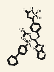 O=C1CC(c2ccc(C[C@@H](c3nc4cccnc4[nH]3)N(OC(=O)C(F)(F)F)S(=O)(=O)c3ccc(-c4ccccc4)cc3)cc2)S(O)(O)N1